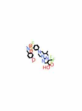 COc1ccc(CN(C)S(=O)(=O)c2cc(N3CCN(c4ncc(C(=O)O)c(C(F)(F)F)n4)C(C(C)C)C3)ccc2F)cc1